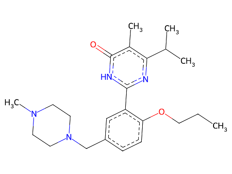 CCCOc1ccc(CN2CCN(C)CC2)cc1-c1nc(C(C)C)c(C)c(=O)[nH]1